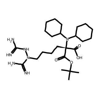 CC(C)(C)OC(=O)[C@@](CCCCN(NC(=N)N)C(=N)N)(C(=O)O)N(C1CCCCC1)C1CCCCC1